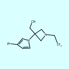 CC(C)c1ccn(C2(CC#N)CN(CC(F)(F)F)C2)c1